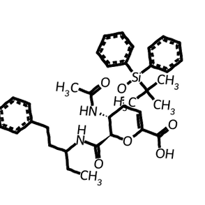 CCC(CCc1ccccc1)NC(=O)[C@@H]1OC(C(=O)O)=C[C@@H](O[Si](c2ccccc2)(c2ccccc2)C(C)(C)C)[C@H]1NC(C)=O